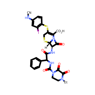 CCN1CCN(C(=O)NC(C(=O)N[C@@H]2C(=O)N3C(C(=O)O)=C(Sc4ccc(NC#N)cc4I)CS[C@@H]23)c2ccccc2)C(=O)C1=O